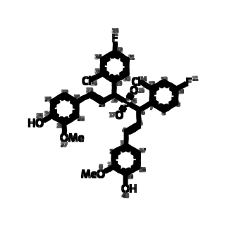 COc1cc(C=CC(c2ccc(F)cc2Cl)S(=O)(=O)C(C=Cc2ccc(O)c(OC)c2)c2ccc(F)cc2Cl)ccc1O